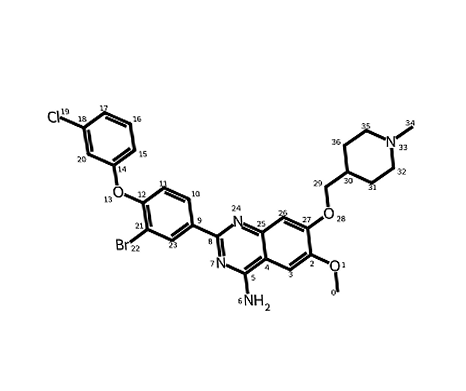 COc1cc2c(N)nc(-c3ccc(Oc4cccc(Cl)c4)c(Br)c3)nc2cc1OCC1CCN(C)CC1